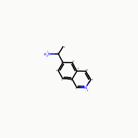 CC(N)c1ccc2cnccc2c1